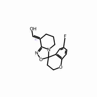 O/C=C1\CCCN2C1=NOC21CCOc2ccc(F)cc21